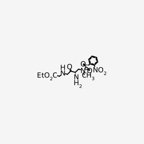 CCOC(=O)CNCC(=O)[C@@H](N)CN(C)S(=O)(=O)c1ccccc1[N+](=O)[O-]